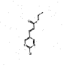 CCOC(=O)C=Cc1cnc(Cl)nc1